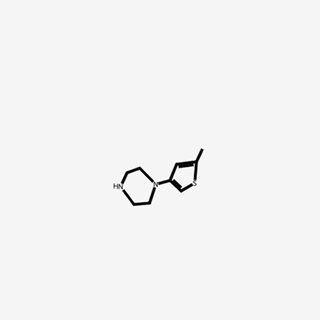 Cc1cc(N2CCNCC2)cs1